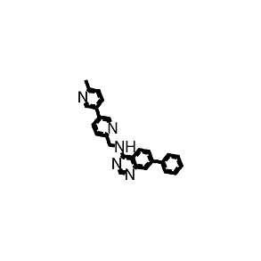 Cc1ccc(-c2ccc(CNc3ncnc4cc(-c5ccccc5)ccc34)nc2)cn1